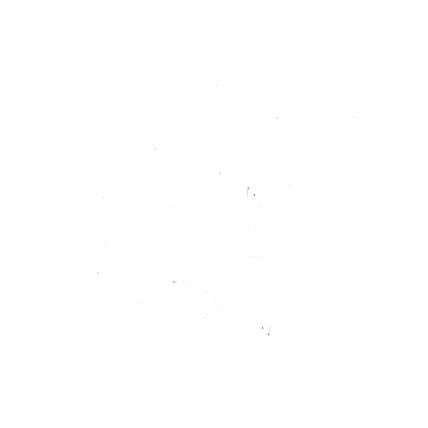 c1cncc(-c2cccc3c2C2(c4ccccc4-3)c3ccccc3-n3c4ccccc4c4cccc2c43)c1